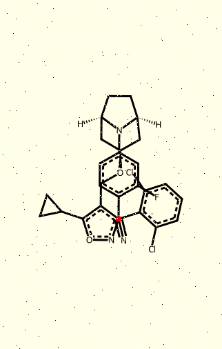 N#Cc1ccc(N2[C@@H]3CC[C@H]2C[C@@H](OCc2c(-c4c(Cl)cccc4Cl)noc2C2CC2)C3)cc1F